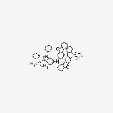 CC1(C)c2ccccc2-c2cc3c(cc21)oc1cccc(N(c2ccc4c(c2)oc2ccccc24)c2ccc4c5c(n(-c6ccccc6)c4c2)-c2ccccc2C5(C)C)c13